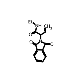 C=CC(C(=O)NCC)N1C(=O)c2ccccc2C1=O